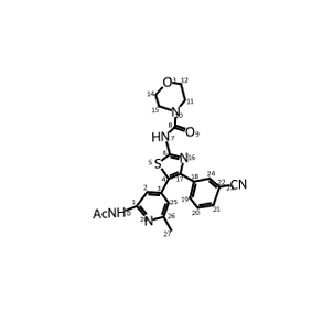 CC(=O)Nc1cc(-c2sc(NC(=O)N3CCOCC3)nc2-c2cccc(C#N)c2)cc(C)n1